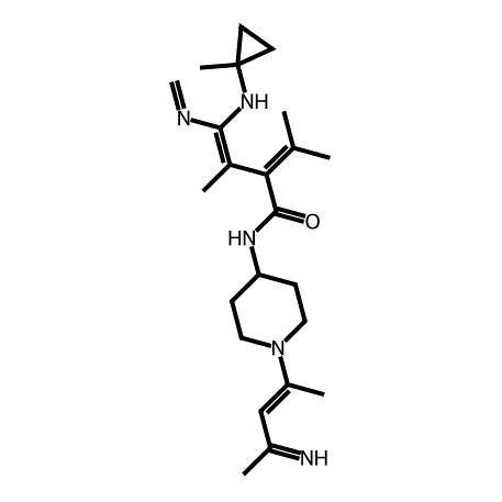 C=N/C(NC1(C)CC1)=C(\C)C(C(=O)NC1CCN(/C(C)=C/C(C)=N)CC1)=C(C)C